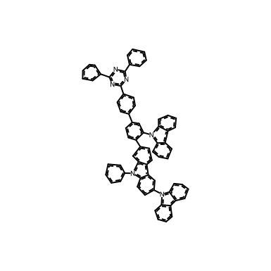 c1ccc(-c2nc(-c3ccccc3)nc(-c3ccc(-c4ccc(-c5ccc6c7cc(-n8c9ccccc9c9ccccc98)ccc7n(-c7ccccc7)c6c5)c(-n5c6ccccc6c6ccccc65)c4)cc3)n2)cc1